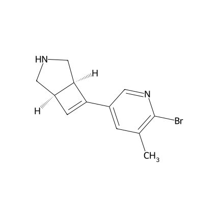 Cc1cc(C2=C[C@H]3CNC[C@@H]23)cnc1Br